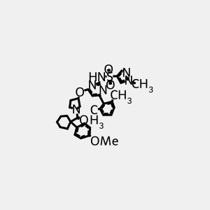 COc1ccc(C2(C(=O)N3CCC(Oc4cc(-c5c(C)cccc5C)nc(NS(=O)(=O)c5cnn(C)c5)n4)C3)CCCCC2)cc1